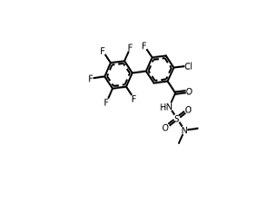 CN(C)S(=O)(=O)NC(=O)c1cc(-c2c(F)c(F)c(F)c(F)c2F)c(F)cc1Cl